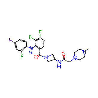 CN1CCN(CC(=O)NC2CN(C(=O)c3ccc(F)c(F)c3Nc3ccc(I)cc3F)C2)CC1